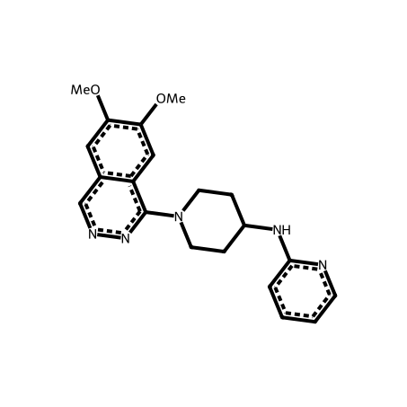 COc1cc2cnnc(N3CCC(Nc4ccccn4)CC3)c2cc1OC